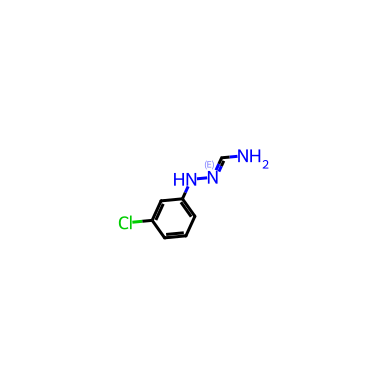 N/C=N/Nc1cccc(Cl)c1